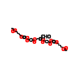 C=CC(=O)OCCCCCCOc1ccc(OC(=O)C2CCC(C(=O)OCCc3ccc(OC(=O)C4CCC(C(=O)Oc5ccc(OCCCCCCOC(=O)C=C)cc5)CC4)c(C=O)c3)CC2)cc1